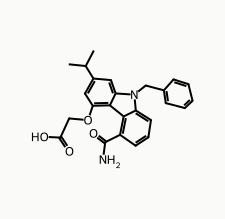 CC(C)c1cc(OCC(=O)O)c2c3c(C(N)=O)cccc3n(Cc3ccccc3)c2c1